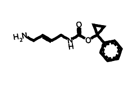 NC/C=C/CNC(=O)OC1(c2ccccc2)CC1